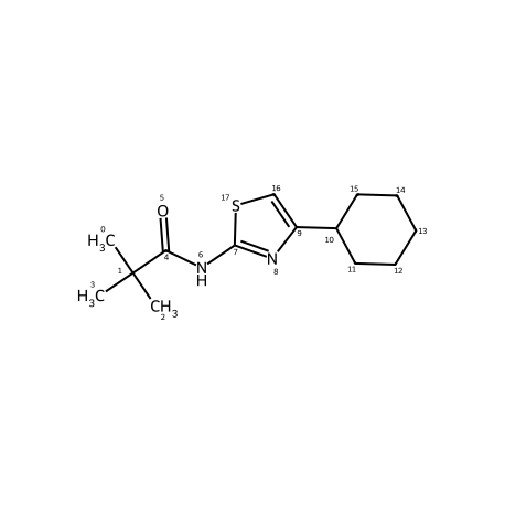 CC(C)(C)C(=O)Nc1nc(C2CCCCC2)cs1